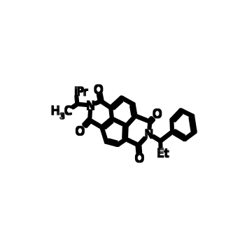 CCC(c1ccccc1)N1C(=O)c2ccc3c4c(ccc(c24)C1=O)C(=O)N(C(C)C(C)C)C3=O